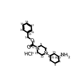 Cl.N[C@@H]1CCC[C@H](N2CCN(C(=O)OCc3ccccc3)CC2)C1